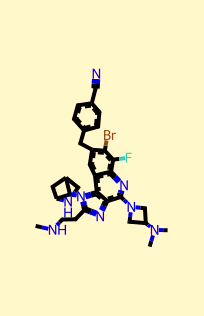 CNCCc1nc2c(N3CC(N(C)C)C3)nc3c(F)c(Br)c(Cc4ccc(C#N)cc4)cc3c2n1C1C2CNC1C2